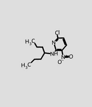 CCCC(CCC)Nc1nc(Cl)ccc1[N+](=O)[O-]